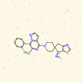 Cc1nc(N2CCC3(CC2)Cc2ncsc2[C@H]3N)c2ccnn2c1-c1ccccc1F